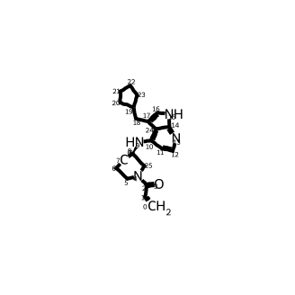 C=CC(=O)N1CCC[C@@H](Nc2ccnc3[nH]cc(CC4CCCC4)c23)C1